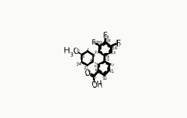 C[C@H]1CC[C@H](c2c(C(=O)O)cccc2-c2cc(F)c(F)c(F)c2)CC1